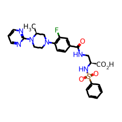 C[C@H]1CN(c2ccc(C(=O)NC[C@H](NS(=O)(=O)c3ccccc3)C(=O)O)cc2F)CCN1c1ncccn1